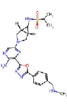 CNCc1ccc(-c2nnc(-c3nc(N4C[C@@H]5C(NS(=O)(=O)C(C)C)[C@@H]5C4)cnc3N)o2)cc1